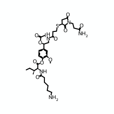 CC[C@H](C)[C@H](NC(=O)CCCCCN)C(=O)Oc1ccc(C(CNC(=O)CCSC2CC(=O)N(CCC(N)=O)C2=O)OC(=O)I)cc1OC